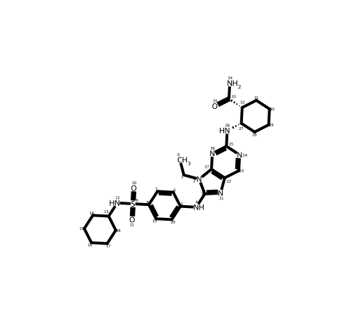 CCn1c(Nc2ccc(S(=O)(=O)NC3CCCCC3)cc2)nc2cnc(N[C@H]3CCCC[C@H]3C(N)=O)nc21